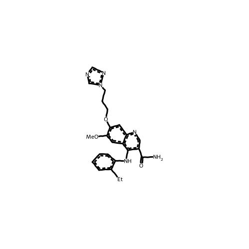 CCc1ccccc1Nc1c(C(N)=O)cnc2cc(OCCCn3cncn3)c(OC)cc12